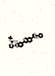 CC(C)(C)OC(=O)N1CCC[C@H]1c1nc2ccc(-c3cc4ccc(-c5cnc(C6CCCC6)[nH]5)cc4cn3)cc2[nH]1